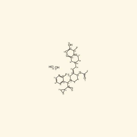 CC(=O)SC1CCN(C(C(=O)C2CC2)c2ccccc2F)CC1=CCN1CCN(C(C)C(=O)O)C(=O)C1.Cl.Cl